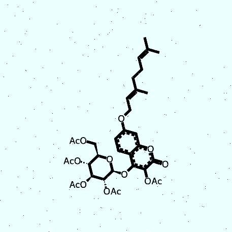 CC(=O)OC[C@H]1O[C@@H](Oc2c(OC(C)=O)c(=O)oc3cc(OC/C=C(\C)CCC=C(C)C)ccc23)[C@H](OC(C)=O)[C@@H](OC(C)=O)[C@@H]1OC(C)=O